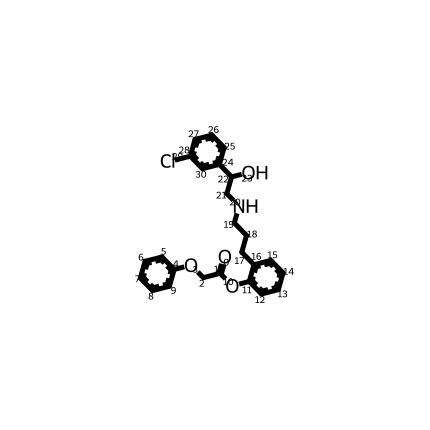 O=C(COc1ccccc1)Oc1ccccc1CCCNCC(O)c1cccc(Cl)c1